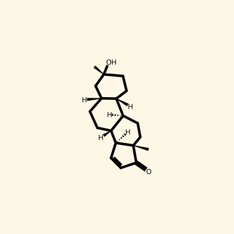 C[C@@]1(O)CC[C@H]2[C@H](CC[C@@H]3[C@@H]2CC[C@]2(C)C(=O)C=C[C@@H]32)C1